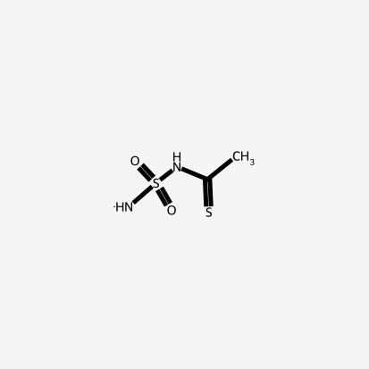 CC(=S)NS([NH])(=O)=O